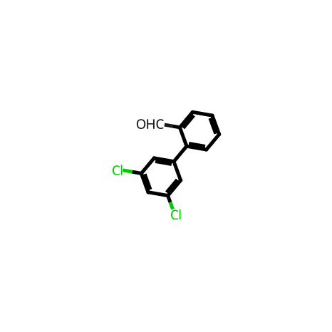 O=Cc1ccccc1-c1cc(Cl)cc(Cl)c1